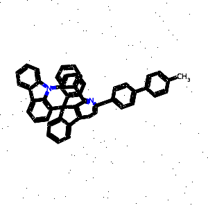 Cc1ccc(-c2ccc(C3=CCC4=C(C(c5ccccc5)=N3)C3(c5ccccc54)c4ccccc4-n4c5ccccc5c5cccc3c54)cc2)cc1